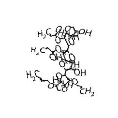 C=CCO[C@H]1CO[C@H]2[C@@H]1OC(C1O[C@H]3[C@H](OC(C4O[C@H]5[C@H](OC[C@H]5O)[C@@H]4OC(=O)C=C)[C@H]3OC(=O)C=C)[C@H]1O)[C@H]2OCC=C